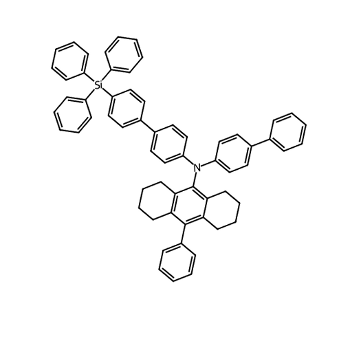 c1ccc(-c2ccc(N(c3ccc(-c4ccc([Si](c5ccccc5)(c5ccccc5)c5ccccc5)cc4)cc3)c3c4c(c(-c5ccccc5)c5c3CCCC5)CCCC4)cc2)cc1